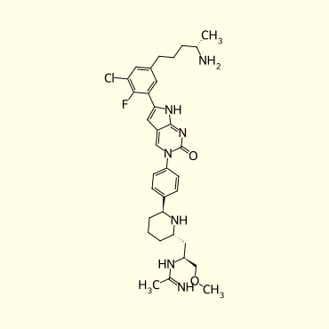 COC[C@H](C[C@@H]1CCC[C@@H](c2ccc(-n3cc4cc(-c5cc(CCC[C@H](C)N)cc(Cl)c5F)[nH]c4nc3=O)cc2)N1)NC(C)=N